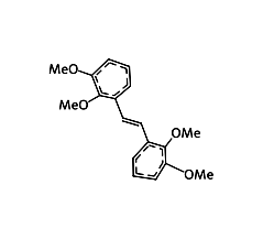 COc1cccc(/C=C/c2cccc(OC)c2OC)c1OC